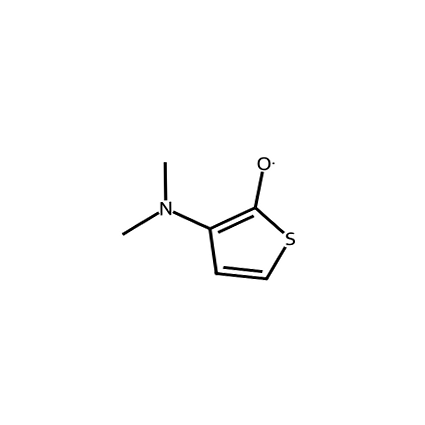 CN(C)c1ccsc1[O]